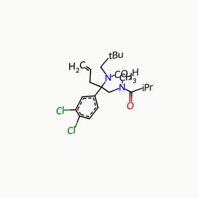 C=CCC(CN(C)C(=O)C(C)C)(c1ccc(Cl)c(Cl)c1)N(CC(C)(C)C)C(=O)O